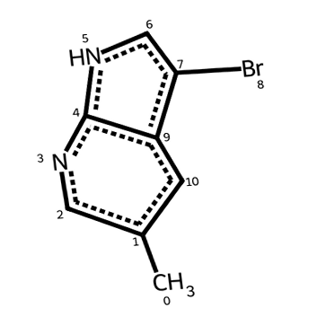 Cc1cnc2[nH]cc(Br)c2c1